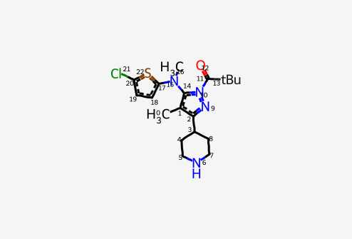 Cc1c(C2CCNCC2)nn(C(=O)C(C)(C)C)c1N(C)c1ccc(Cl)s1